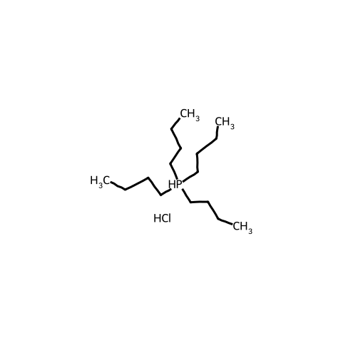 CCCC[PH](CCCC)(CCCC)CCCC.Cl